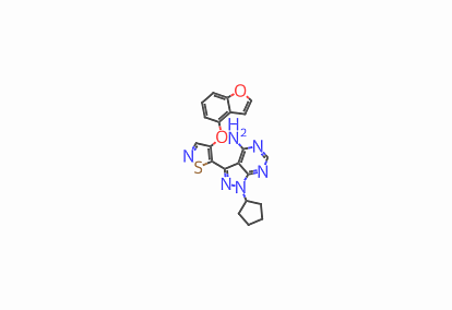 Nc1ncnc2c1c(-c1sncc1Oc1cccc3occc13)nn2C1CCCC1